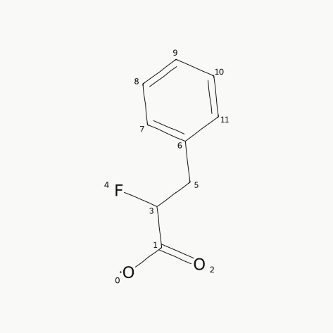 [O]C(=O)C(F)Cc1ccccc1